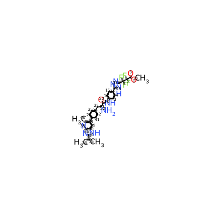 COC(=O)C(F)(F)C(F)(F)c1nnc(-c2ccc(NC(=O)[C@@H](N)Cc3ccc(-c4cc5[nH]c(C(C)C)nc5nc4C)cc3)cc2)[nH]1